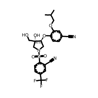 CC(C)COc1cc(C#N)ccc1O[C@H]1CN(S(=O)(=O)c2ccc(C(F)(F)F)cc2C#N)C[C@@]1(O)CO